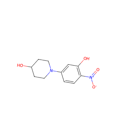 O=[N+]([O-])c1ccc(N2CCC(O)CC2)cc1O